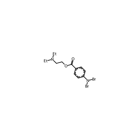 CCN(CC)CCOC(=O)c1ccc(N(Br)Br)cc1